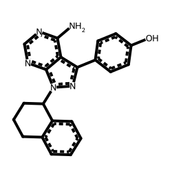 Nc1ncnc2c1c(-c1ccc(O)cc1)nn2C1CCCc2ccccc21